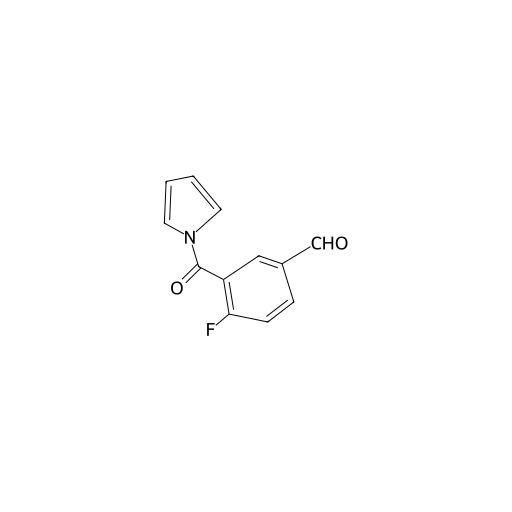 O=Cc1ccc(F)c(C(=O)n2cccc2)c1